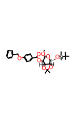 CO[C@@H]1O[C@H](CO[Si](C)(C)C(C)(C)C)[C@@H]2OC(C)(C)O[C@@H]2[C@H]1OC(=O)c1ccc(OCc2ccccc2)cc1